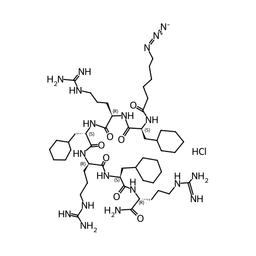 Cl.[N-]=[N+]=NCCCCCC(=O)N[C@@H](CC1CCCCC1)C(=O)N[C@H](CCCNC(=N)N)C(=O)N[C@@H](CC1CCCCC1)C(=O)N[C@H](CCCNC(=N)N)C(=O)N[C@@H](CC1CCCCC1)C(=O)N[C@H](CCCNC(=N)N)C(N)=O